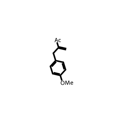 C=C(Cc1ccc(OC)cc1)C(C)=O